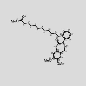 COC(=O)CCCCCCCCCCCc1ccccc1N1N=Cc2cc(OC)c(OC)cc2CC1=O